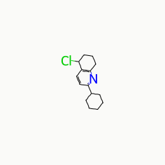 ClC1CCCc2nc(C3CCCCC3)ccc21